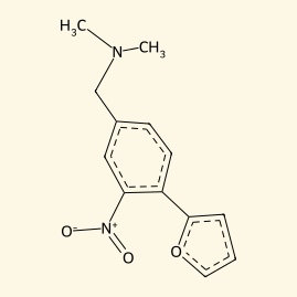 CN(C)Cc1ccc(-c2ccco2)c([N+](=O)[O-])c1